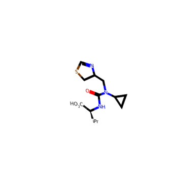 CC(C)[C@H](NC(=O)N(CC1CSC=N1)C1CC1)C(=O)O